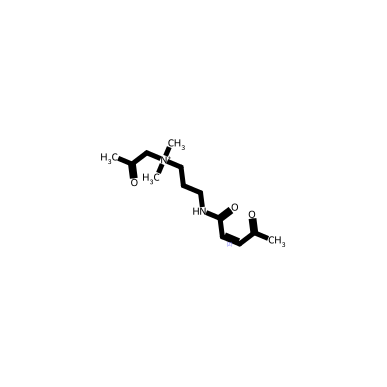 CC(=O)/C=C\C(=O)NCCC[N+](C)(C)CC(C)=O